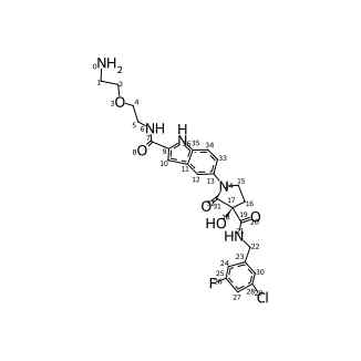 NCCOCCNC(=O)c1cc2cc(N3CC[C@](O)(C(=O)NCc4cc(F)cc(Cl)c4)C3=O)ccc2[nH]1